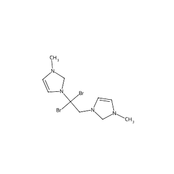 CN1C=CN(CC(Br)(Br)N2C=CN(C)C2)C1